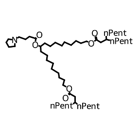 CCCCCC(CCCCC)CC(=O)OCCCCCCCCCC(CCCCCCCCCOC(=O)CC(CCCCC)CCCCC)OC(=O)CCCN1CCCC1